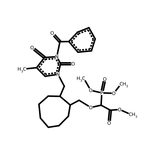 COC(=O)C(OCC1CCCCCCC1Cn1cc(C)c(=O)n(C(=O)c2ccccc2)c1=O)P(=O)(OC)OC